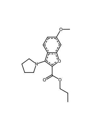 CCCOC(=O)c1oc2cc(OC)ccc2c1N1CCCC1